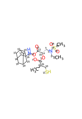 CCN(C[C@H](OC(=O)[C@H](C)CS)C(=O)ONC12CC3CC(CC(C3)C1)C2)S(C)(=O)=O